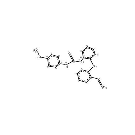 C=Cc1ccccc1Oc1ncccc1NC(=O)Nc1ccc(OC(F)(F)F)cc1